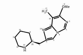 COc1ncn2cc(C[C@@H]3CCCCN3)nc2c1C